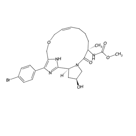 COC(=O)N[C@]1(C)CCCC=CCOCc2[nH]c(nc2-c2ccc(Br)cc2)[C@@H]2C[C@H](O)CN2C1=O